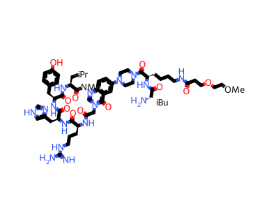 CC[C@H](C)[C@H](N)C(=O)N[C@@H](CCCCNC(=O)CCOCCOC)C(=O)N1CCN(c2ccc3ncn(CC(=O)N[C@@H](CCCNC(=N)N)C(=O)N[C@@H](Cc4c[nH]cn4)C(=O)N[C@@H](Cc4ccc(O)cc4)C(=O)N[C@@H](CC(C)C)C(=O)NC)c(=O)c3c2)CC1